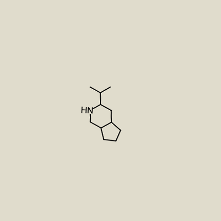 CC(C)C1CC2CCCC2CN1